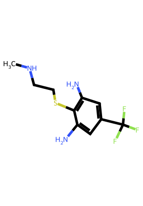 CNCCSc1c(N)cc(C(F)(F)F)cc1N